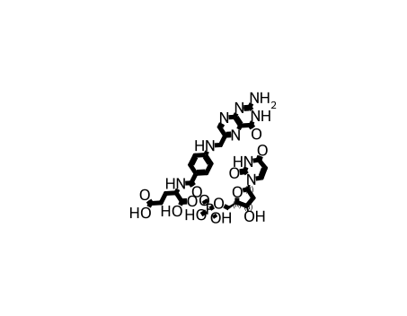 Nc1nc2ncc(CNc3ccc(C(=O)NC(CCC(=O)O)C(=O)O)cc3)nc2c(=O)[nH]1.O=c1ccn([C@H]2C[C@H](O)[C@@H](COP(=O)(O)O)O2)c(=O)[nH]1